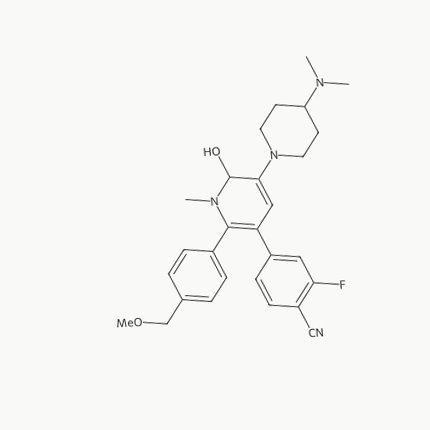 COCc1ccc(C2=C(c3ccc(C#N)c(F)c3)C=C(N3CCC(N(C)C)CC3)C(O)N2C)cc1